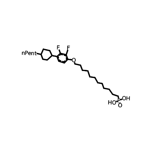 CCCCCC1CCC(c2ccc(OCCCCCCCCCCCCP(=O)(O)O)c(F)c2F)CC1